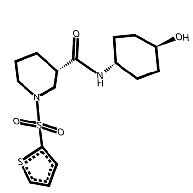 O=C(N[C@H]1CC[C@H](O)CC1)[C@H]1CCCN(S(=O)(=O)c2cccs2)C1